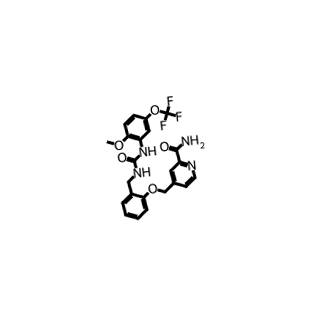 COc1ccc(OC(F)(F)F)cc1NC(=O)NCc1ccccc1OCc1ccnc(C(N)=O)c1